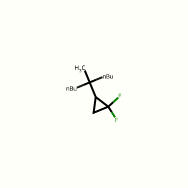 CCCCC(C)(CCCC)C1CC1(F)F